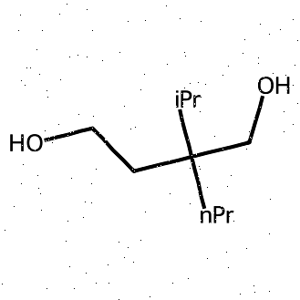 CCCC(CO)(CCO)C(C)C